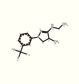 CCNC1=NN(c2cccc(C(F)(F)F)c2)CC1C